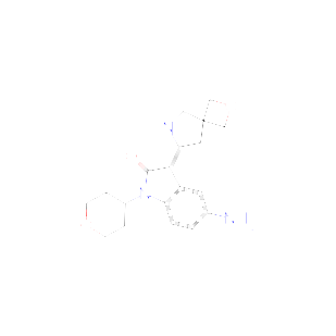 Nc1ccc2c(c1)/C(=C1\CC3(CN1)COC3)C(=O)N2C1CCOCC1